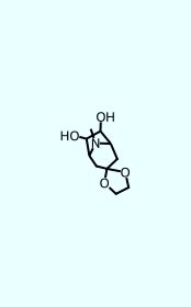 CN1C2CC3(CC1C(O)C2O)OCCO3